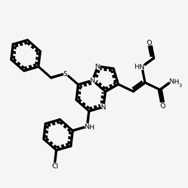 NC(=O)/C(=C/c1cnn2c(SCc3ccccc3)cc(Nc3cccc(Cl)c3)nc12)NC=O